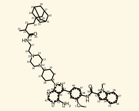 COc1cc(-c2nn(C3CCC(N4CCN(CCNC(=O)C(C)CCC56CC7CC(CC(C7)C5)C6)CC4)CC3)c3ncnc(N)c23)ccc1NC(=O)c1cc2ccccc2n1C